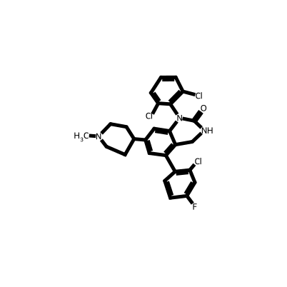 CN1CCC(c2cc(-c3ccc(F)cc3Cl)c3c(c2)N(c2c(Cl)cccc2Cl)C(=O)NC3)CC1